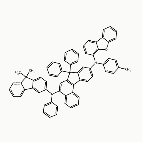 Cc1ccc(N(c2ccc3c(c2)C(c2ccccc2)(c2ccccc2)c2cc(N(c4ccccc4)c4ccc5c(c4)-c4ccccc4C5(C)C)c4ccccc4c2-3)c2cccc3c2oc2ccccc23)cc1